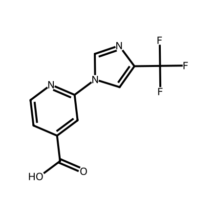 O=C(O)c1ccnc(-n2cnc(C(F)(F)F)c2)c1